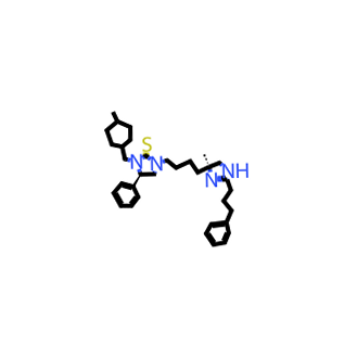 CC1CCC(CN2C(=S)N(CCCC[C@@]3(C)CNC(CCCc4ccccc4)=N3)C[C@H]2c2ccccc2)CC1